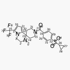 CN1CCn2c(C(F)(F)F)ccc2C12CCN(C(=O)c1ccc(S(=O)(=O)C3CC3)cc1)CC2